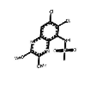 CCc1c(Cl)cc2nc(OC)c(OC)nc2c1NS(C)(=O)=O